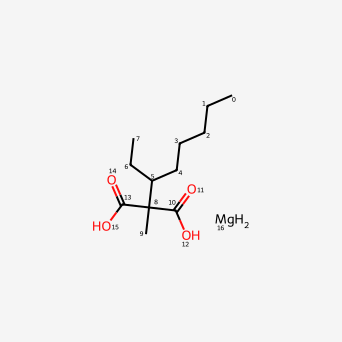 CCCCCC(CC)C(C)(C(=O)O)C(=O)O.[MgH2]